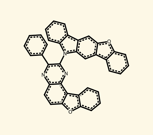 c1ccc(-c2nc3ccc4oc5ccccc5c4c3nc2-n2c3ccccc3c3cc4oc5ccccc5c4cc32)cc1